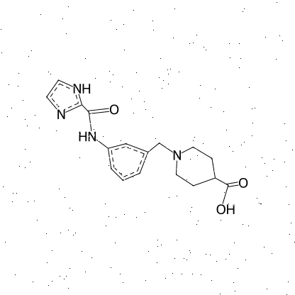 O=C(Nc1cccc(CN2CCC(C(=O)O)CC2)c1)c1ncc[nH]1